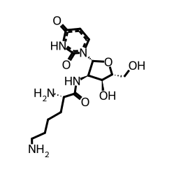 NCCCC[C@H](N)C(=O)N[C@@H]1[C@H](O)[C@@H](CO)O[C@H]1n1ccc(=O)[nH]c1=O